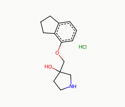 Cl.OC1(COc2cccc3c2CCC3)CCNC1